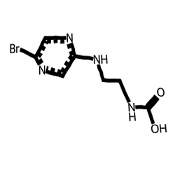 O=C(O)NCCNc1cnc(Br)cn1